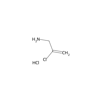 C=C(Cl)CN.Cl